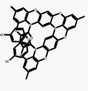 Cc1cc2c3c(c1)Oc1cc4c(cc1B3c1cc3c(cc1O2)Oc1cc(C)cc2c1B3c1oc3ccc(C#N)cc3c1O2)B1c2oc3ccc(C#N)cc3c2Oc2cc(C)cc(c21)O4